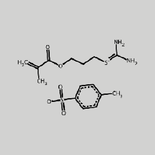 C=C(C)C(=O)OCCC[S+]=C(N)N.Cc1ccc(S(=O)(=O)[O-])cc1